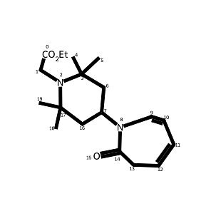 CCOC(=O)CN1C(C)(C)CC(N2C=CC=CCC2=O)CC1(C)C